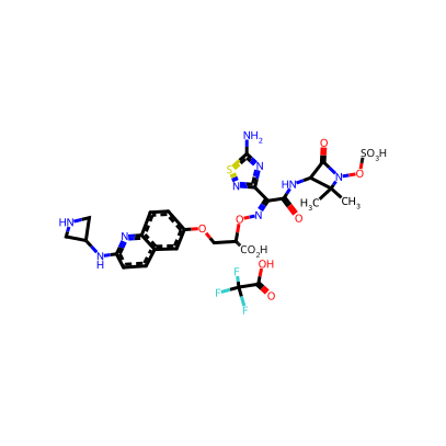 CC1(C)C(NC(=O)C(=NOC(COc2ccc3nc(NC4CNC4)ccc3c2)C(=O)O)c2nsc(N)n2)C(=O)N1OS(=O)(=O)O.O=C(O)C(F)(F)F